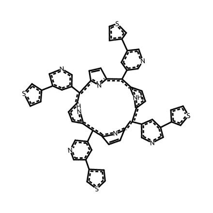 C1=Cc2nc1c(-c1cncc(-c3ccsc3)c1)c1ccc([nH]1)c(-c1cncc(-c3ccsc3)c1)c1nc(c(-c3cncc(-c4ccsc4)c3)c3ccc([nH]3)c2-c2cncc(-c3ccsc3)c2)C=C1